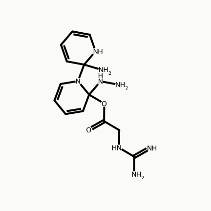 N=C(N)NCC(=O)OC1(NN)C=CC=CN1C1(N)C=CC=CN1